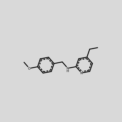 CCc1ccnc(NCc2ccc(OC)cc2)c1